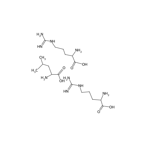 CC(C)CC(N)C(=O)O.N=C(N)NCCCC(N)C(=O)O.N=C(N)NCCCC(N)C(=O)O